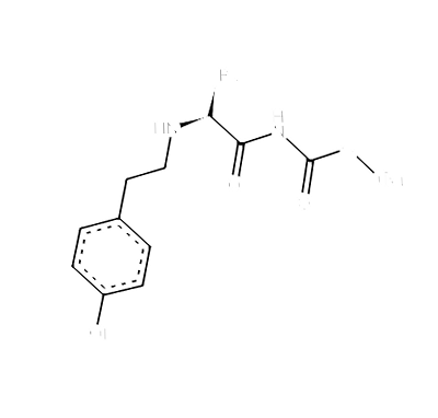 CC[C@H](C)[C@H](NCCc1ccc(O)cc1)C(=O)NC(=O)OC(C)(C)C